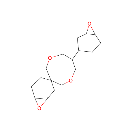 C1CC2OC2CC1C1COCC2(CCC3OC3C2)COC1